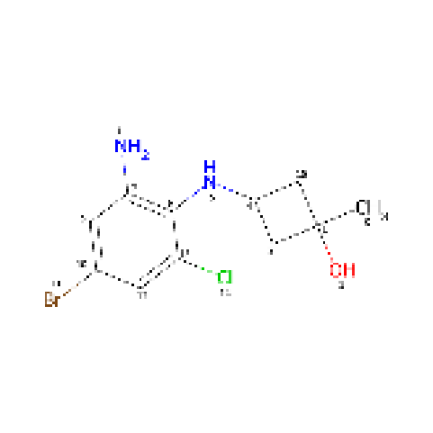 CC1(O)CC(Nc2c(N)cc(Br)cc2Cl)C1